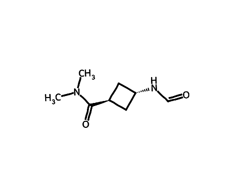 CN(C)C(=O)[C@H]1C[C@H](NC=O)C1